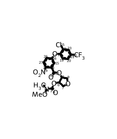 CON(C)C(=O)OC1COCC1OC(=O)c1cc(Oc2ccc(C(F)(F)F)cc2Cl)ccc1[N+](=O)[O-]